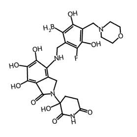 Bc1c(O)c(CN2CCOCC2)c(O)c(F)c1CNc1c(O)c(O)c(O)c2c1CN(C1(O)CCC(=O)NC1=O)C2=O